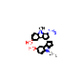 CN1C2C=CC(O)=CC2C2CCC(N)C21.Cn1c2c(c3c1=CC=C(O)C3)C=CC=2